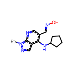 CCn1ncc2c(NC3CCCC3)c(C=NO)cnc21